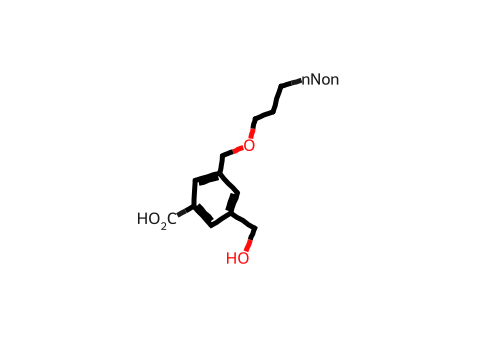 CCCCCCCCCCCCOCc1cc(CO)cc(C(=O)O)c1